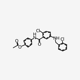 CC(=O)Oc1ccc(NC(=O)c2cc(NCc3ccccc3Cl)ccc2Cl)cc1